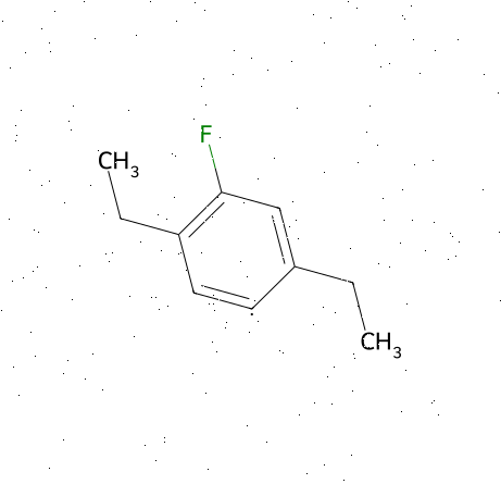 CCc1[c]cc(CC)c(F)c1